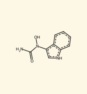 NC(=O)N(O)c1c[nH]c2ccccc12